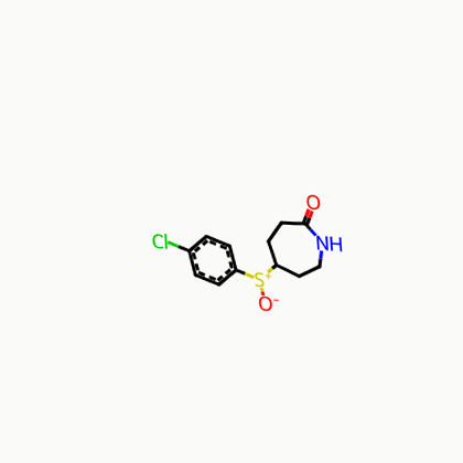 O=C1CCC([S+]([O-])c2ccc(Cl)cc2)CCN1